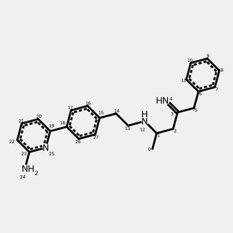 CC(CC(=N)[CH]c1ccccc1)NCCc1ccc(-c2cccc(N)n2)cc1